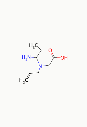 C=CCN(CC(=O)O)C(N)CC